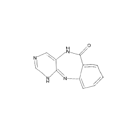 O=C1NC2=CN=CNC2=Nc2ccccc21